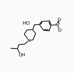 CC(O)CCN1CCC(Cc2ccc([N+](=O)[O-])cc2)CC1.Cl